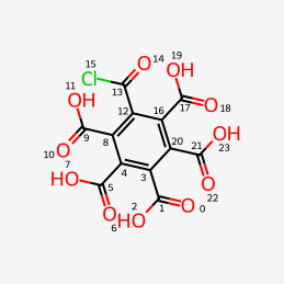 O=C(O)c1c(C(=O)O)c(C(=O)O)c(C(=O)Cl)c(C(=O)O)c1C(=O)O